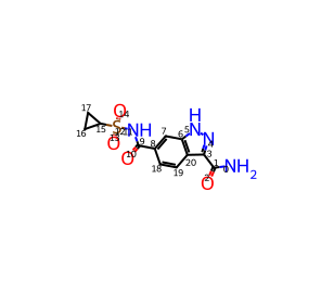 NC(=O)c1n[nH]c2cc(C(=O)NS(=O)(=O)C3CC3)ccc12